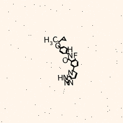 C[C@H](Oc1ccc(NC(=O)c2cc(-c3ccc4nn[nH]c4n3)ccc2F)cc1)C1CC1